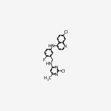 Cc1cc(NCc2cc(Nc3ccnc4cc(Cl)ccc34)ccc2F)nc(Cl)n1